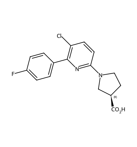 O=C(O)[C@@H]1CCN(c2ccc(Cl)c(-c3ccc(F)cc3)n2)C1